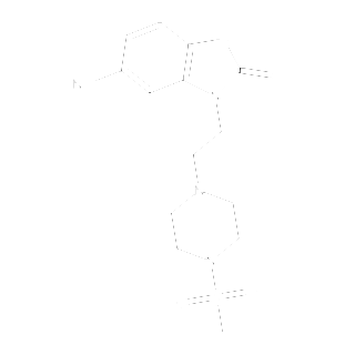 CS(=O)(=O)N1CCN(CCn2c(=O)oc3ccc(C#N)cc32)CC1